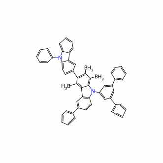 Bc1c(-c2ccc3c(c2)c2ccccc2n3-c2ccccc2)c(B)c2c3cc(-c4ccccc4)ccc3n(-c3cc(-c4ccccc4)cc(-c4ccccc4)c3)c2c1B